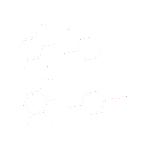 CC(=O)c1ccc(C(=O)[O-])c(OCc2ccccc2O)c1C(C)=O.CC(=O)c1ccc(C(=O)[O-])c(OCc2ccccc2O)c1C(C)=O.[OH][Al+2]